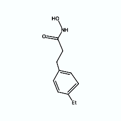 CCc1ccc(CCC(=O)NO)cc1